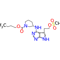 CCCCOC(=O)N1CCCC(Nc2ncnc3[nH]cc(CCOS(C)(=O)=O)c23)C1